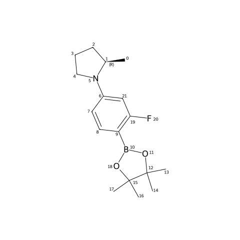 C[C@@H]1CCCN1c1ccc(B2OC(C)(C)C(C)(C)O2)c(F)c1